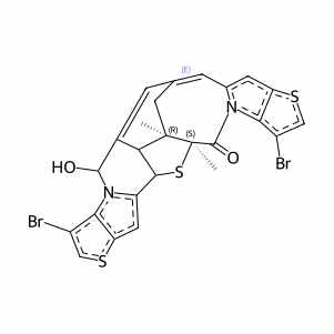 C[C@@]12SC3c4cc5scc(Br)c5n4C(O)C4=C/C(=C/c5cc6scc(Br)c6n5C1=O)C[C@]2(C)C43